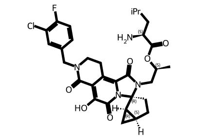 CC(C)C[C@H](N)C(=O)O[C@@H](C)CN1C(=O)c2c3c(c(O)c(=O)n2[C@@]12CC[C@H]1C[C@H]12)C(=O)N(Cc1ccc(F)c(Cl)c1)CC3